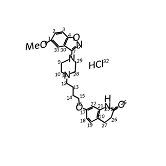 COc1ccc2onc(N3CCN(CCCCOc4ccc5c(c4)NC(=O)CC5)CC3)c2c1.Cl